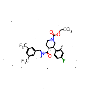 Cc1cc(F)ccc1[C@@H]1CN(C(=O)OCC(Cl)(Cl)Cl)CC[C@H]1C(=O)N(C)Cc1cc(C(F)(F)F)cc(C(F)(F)F)c1